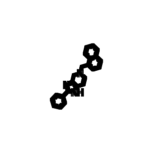 C1=CN(Cc2cccc3ccccc23)Cc2nc(-c3ccccc3)[nH]c21